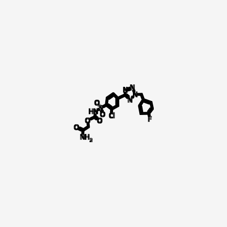 NC(=O)COC(=O)NS(=O)(=O)c1ccc(-c2nnn(Cc3ccc(F)cc3)n2)cc1Cl